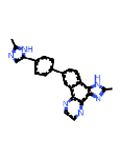 Cc1ncc(-c2ccc(-c3ccc4c(c3)c3nccnc3c3nc(C)[nH]c43)cc2)[nH]1